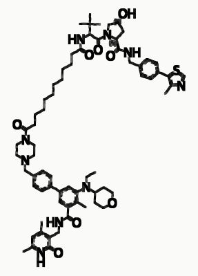 CCN(c1cc(-c2ccc(CN3CCN(C(=O)CCCCCCCCCCC(=O)NC(C(=O)N4C[C@H](O)C[C@H]4C(=O)NCc4ccc(-c5scnc5C)cc4)C(C)(C)C)CC3)cc2)cc(C(=O)NCc2c(C)cc(C)[nH]c2=O)c1C)C1CCOCC1